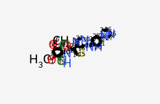 COc1cc(OC)c(Cl)c(NC(=O)c2csc3c(Nc4ccc(-n5ccnc5)cc4)ncnc23)c1Cl